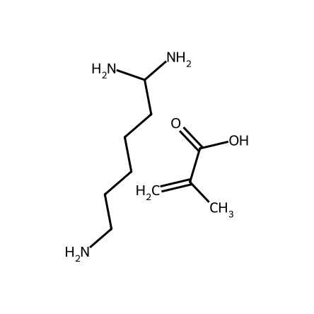 C=C(C)C(=O)O.NCCCCCC(N)N